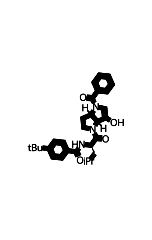 CC(C)C[C@H](NC(=O)c1ccc(C(C)(C)C)cc1)C(=O)N1CC[C@@H]2[C@H]1C(O)=CN2C(=O)c1ccccc1